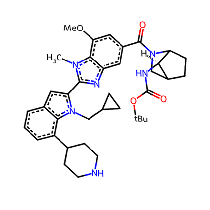 COc1cc(C(=O)N2CC3CCC2[C@@H]3NC(=O)OC(C)(C)C)cc2nc(-c3cc4cccc(C5CCNCC5)c4n3CC3CC3)n(C)c12